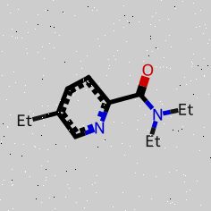 CCc1ccc(C(=O)N(CC)CC)nc1